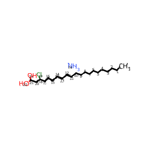 CCCCCCCCCCCCCCCCCCC(Cl)CC(O)O.N